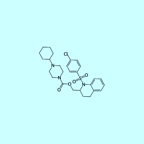 O=C(OCC1CCc2ccccc2N1S(=O)(=O)c1ccc(Cl)cc1)N1CCN(C2CCCCC2)CC1